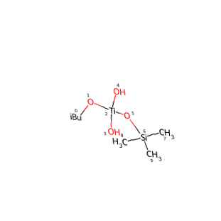 CCC(C)[O][Ti]([OH])([OH])[O][Si](C)(C)C